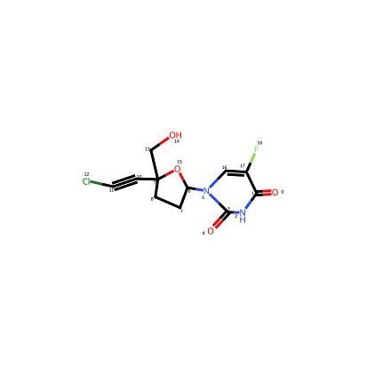 O=c1[nH]c(=O)n(C2CCC(C#CCl)(CO)O2)cc1F